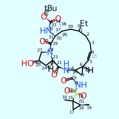 CCC1CC/C=C\[C@@H]2C[C@@]2(C(=O)NS(=O)(=O)C2(C)C[C@@H]2C)NC(=O)[C@@H]2C[C@@H](O)CN2C(=O)[C@@H](NC(=O)OC(C)(C)C)[C@H](C)C1